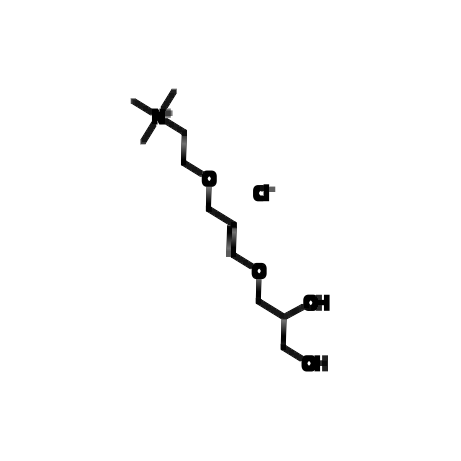 C[N+](C)(C)CCOCC=COCC(O)CO.[Cl-]